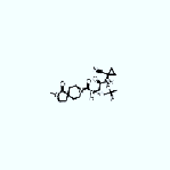 CN1CCC2(CCN(C(=O)N[C@@H](CC(C)(F)F)C(=O)NC3(C#N)CC3)CC2)C1=O